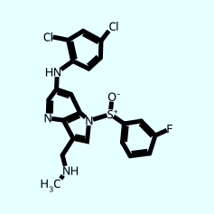 CNCc1cn([S+]([O-])c2cccc(F)c2)c2cc(Nc3ccc(Cl)cc3Cl)cnc12